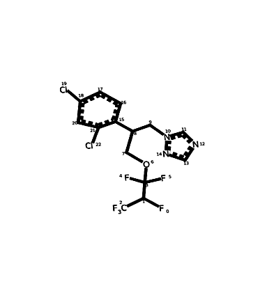 FC(C(F)(F)F)C(F)(F)OCC(Cn1cncn1)c1ccc(Cl)cc1Cl